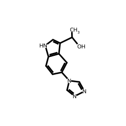 CC(O)c1c[nH]c2ccc(-n3cnnc3)cc12